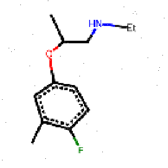 CCNCC(C)Oc1ccc(F)c(C)c1